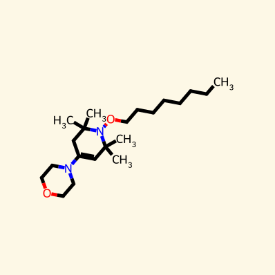 CCCCCCCCON1C(C)(C)C=C(N2CCOCC2)CC1(C)C